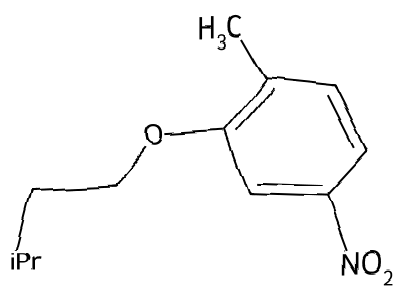 Cc1ccc([N+](=O)[O-])cc1OCCC(C)C